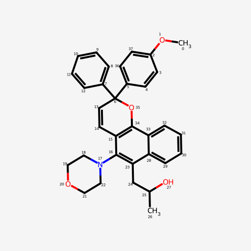 COc1ccc(C2(c3ccccc3)C=Cc3c(N4CCOCC4)c(CC(C)O)c4ccccc4c3O2)cc1